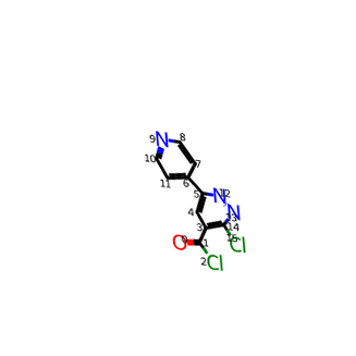 O=C(Cl)c1cc(-c2ccncc2)nnc1Cl